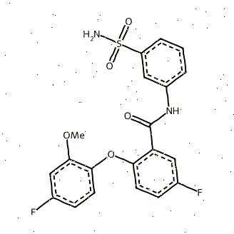 COc1cc(F)ccc1Oc1ccc(F)cc1C(=O)Nc1cccc(S(N)(=O)=O)c1